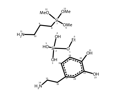 CCO[Si](O)(O)O.CO[Si](CCCN)(OC)OC.NCCc1ccc(O)c(O)c1